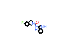 O=C(Nc1c[nH]c2ccccc12)N1CCc2cc(F)ccc2C1